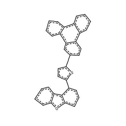 c1ccc2c(c1)oc1cccc(-c3ccc(-c4ccc5c6ccccc6c6ccccc6c5c4)s3)c12